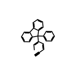 C#C/C=C\C(=C/C)C1(c2ccccc2)c2ccccc2-c2ccccc21